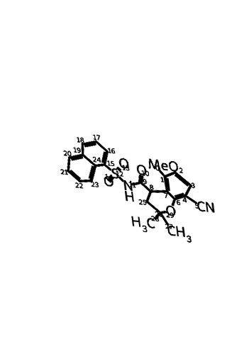 COc1ccc(C#N)c2c1C(C(=O)NS(=O)(=O)c1cccc3ccccc13)CC(C)(C)O2